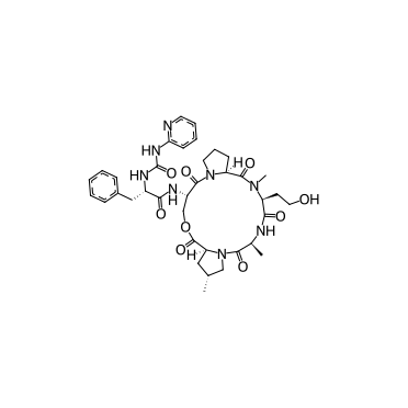 C[C@@H]1C[C@H]2C(=O)OC[C@H](NC(=O)[C@H](Cc3ccccc3)NC(=O)Nc3ccccn3)C(=O)N3CCC[C@H]3C(=O)N(C)[C@@H](CCO)C(=O)N[C@@H](C)C(=O)N2C1